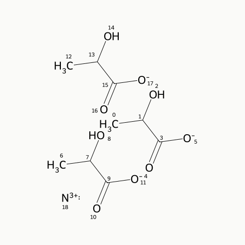 CC(O)C(=O)[O-].CC(O)C(=O)[O-].CC(O)C(=O)[O-].[N+3]